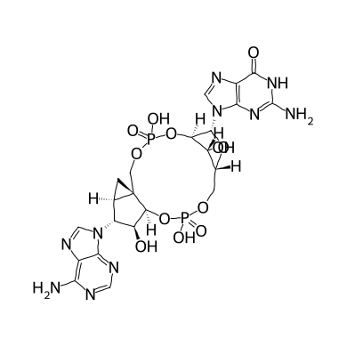 Nc1nc2c(ncn2[C@@H]2O[C@@H]3COP(=O)(O)O[C@H]4[C@@H](O)[C@H](n5cnc6c(N)ncnc65)[C@H]5C[C@]54COP(=O)(O)O[C@@H]2[C@@H]3O)c(=O)[nH]1